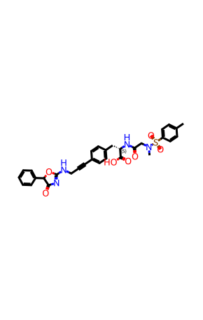 Cc1ccc(S(=O)(=O)N(C)CC(=O)N[C@@H](Cc2ccc(C#CCNC3=NC(=O)C(c4ccccc4)O3)cc2)C(=O)O)cc1